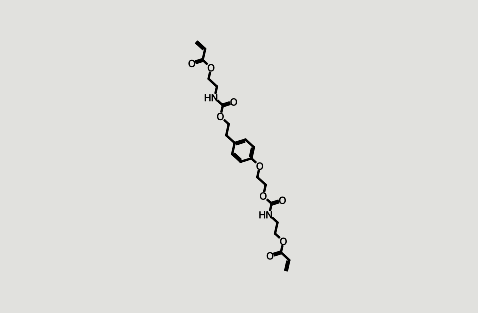 C=CC(=O)OCCNC(=O)OCCOc1ccc(CCOC(=O)NCCOC(=O)C=C)cc1